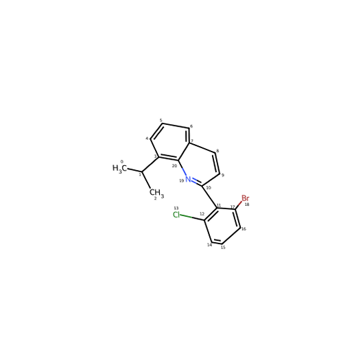 CC(C)c1cccc2ccc(-c3c(Cl)cccc3Br)nc12